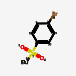 CCC(C)S(=O)(=O)c1ccc(Br)cc1